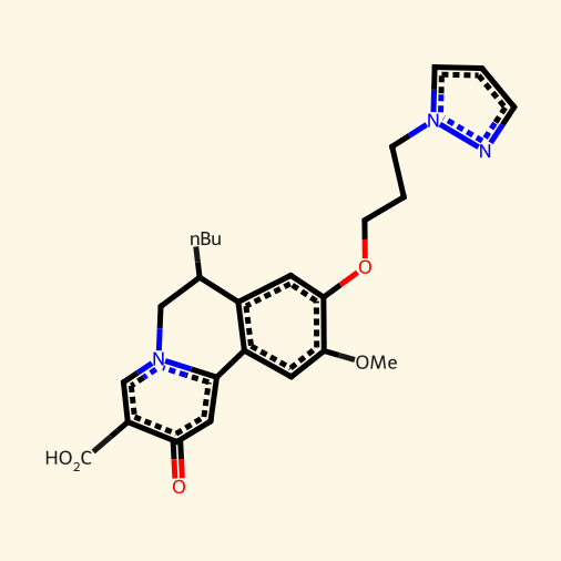 CCCCC1Cn2cc(C(=O)O)c(=O)cc2-c2cc(OC)c(OCCCn3cccn3)cc21